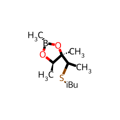 CC[C@@H](C)SC(C)[C@]1(C)OB(C)O[C@@H]1C